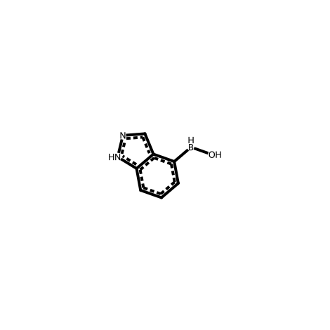 OBc1cccc2[nH]ncc12